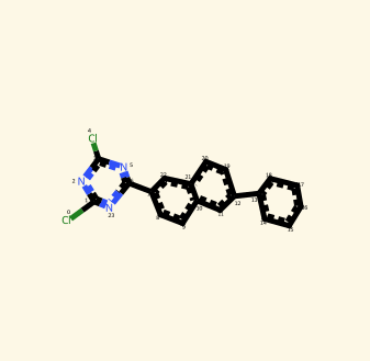 Clc1nc(Cl)nc(-c2ccc3cc(-c4ccccc4)ccc3c2)n1